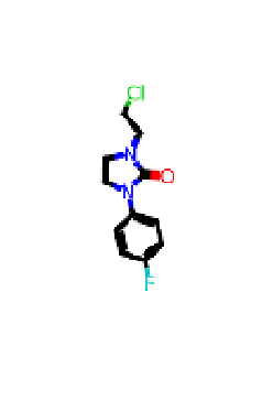 O=C1N(CCCl)CCN1c1ccc(F)cc1